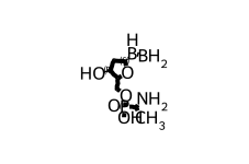 BB[C@H]1C[C@@H](O)C(COP(=O)(O)C(C)N)O1